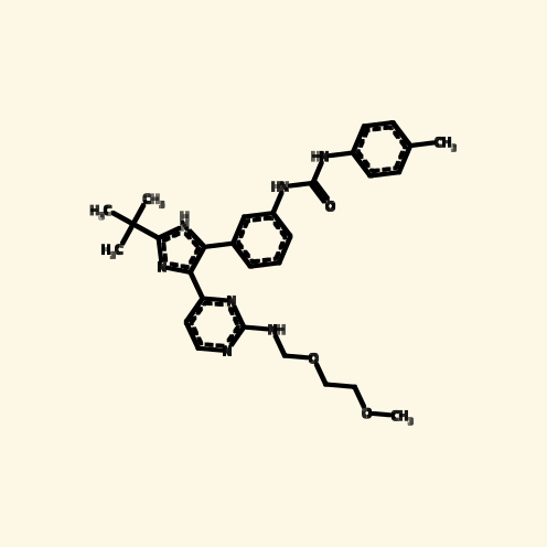 COCCOCNc1nccc(-c2nc(C(C)(C)C)[nH]c2-c2cccc(NC(=O)Nc3ccc(C)cc3)c2)n1